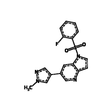 Cn1cc(-c2cnc3ccn(S(=O)(=O)c4ccccc4F)c3c2)cn1